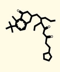 CCCC(CC1CC(=O)c2c(ccc(C(C)(C)C)c2C)C1)C(CC)C(=O)CC(=O)CCC1CCCC1